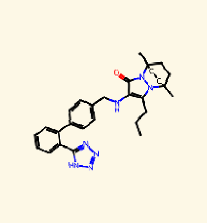 CCCc1c(NCc2ccc(-c3ccccc3-c3nnn[nH]3)cc2)c(=O)n2n1C1(C)CCC2(C)CC1